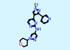 CCn1cc(-c2ccnc(Nc3cnn(C4CCOCC4)c3)n2)c(-c2cccnc2)n1